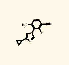 Cc1ccc(C#N)c(F)c1-n1cnc(C2CC2)c1